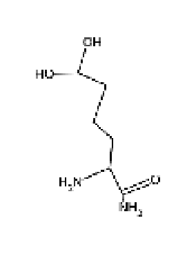 NC(=O)C(N)CCCC(O)O